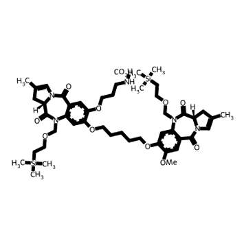 COc1cc2c(cc1OCCCCCOc1cc3c(cc1OCCCNC(=O)O)C(=O)N1C=C(C)C[C@H]1C(=O)N3COCC[Si](C)(C)C)N(COCC[Si](C)(C)C)C(=O)[C@@H]1CC(C)=CN1C2=O